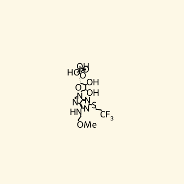 COCCNc1nc(SCCC(F)(F)F)nc2c1ncn2[C@@H]1O[C@H](COP(=O)(O)O)C(O)C1O